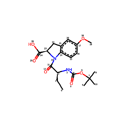 CC[C@H](NC(=O)OC(C)(C)C)C(=O)N1c2ccc(OC)cc2C[C@@H]1C(=O)O